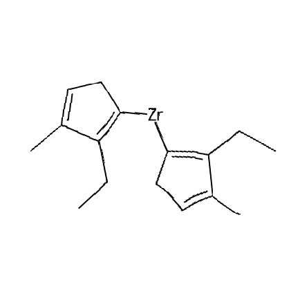 CCC1=[C]([Zr][C]2=C(CC)C(C)=CC2)CC=C1C